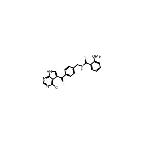 COc1ccccc1C(=O)NCc1ccc(C(=O)c2c[nH]c3ncnc(Cl)c23)cc1